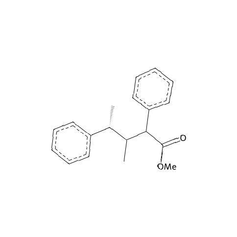 COC(=O)C(c1ccccc1)C(C)[C@@H](C)c1ccccc1